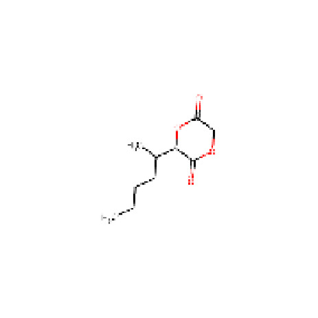 CCCCC(C)C1OC(=O)COC1=O